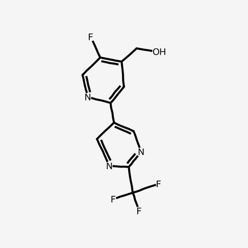 OCc1cc(-c2cnc(C(F)(F)F)nc2)ncc1F